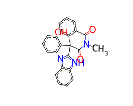 CN1C(=O)c2ccccc2C(c2nc3ccccc3[nH]2)(c2ccccc2O)C1=O